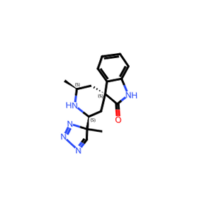 C[C@H]1C[C@@]2(C[C@@H](C3(C)C=NN=N3)N1)C(=O)Nc1ccccc12